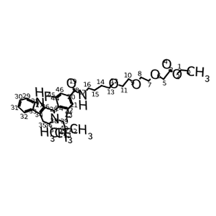 CCOC(=O)COCCOCCOCCCCNC(=O)c1cc(F)c([C@@H]2c3[nH]c4ccccc4c3C[C@@H](C)N2CC(C)(C)F)c(F)c1